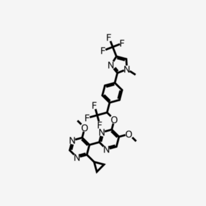 COc1cnc(-c2c(OC)ncnc2C2CC2)nc1OC(c1ccc(-c2nc(C(F)(F)F)cn2C)cc1)C(F)(F)F